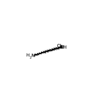 NCCCCCCCCCCCCCCCCCCCCCCCCC[SiH](Cl)Cl